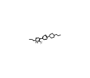 CCCc1ccc(-c2ccc(C3CCC(CCC)CC3)cc2)c(F)n1